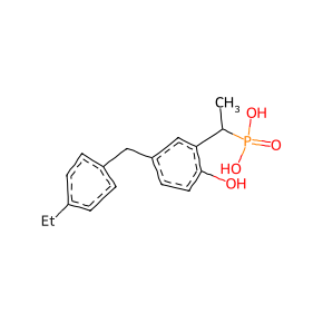 CCc1ccc(Cc2ccc(O)c(C(C)P(=O)(O)O)c2)cc1